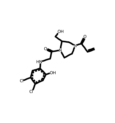 C=CC(=O)N1CCN(C(=O)CNc2cc(Cl)c(Cl)cc2O)C(CO)C1